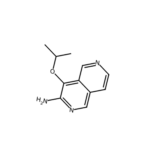 CC(C)Oc1c(N)ncc2ccncc12